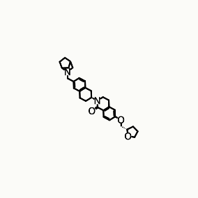 O=C1c2ccc(OC[C@@H]3CCCO3)cc2CCN1[C@H]1CCc2cc(CN3CC4CCC3C4)ccc2C1